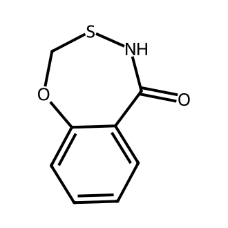 O=C1NSCOc2ccccc21